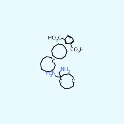 C1CCCCCCCCC1.C1CCCCCCCCC1.NCC1(CN)CCCCCCCCC1.O=C(O)c1cccc(C(=O)O)c1